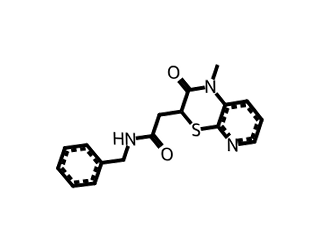 CN1C(=O)C(CC(=O)NCc2ccccc2)Sc2ncccc21